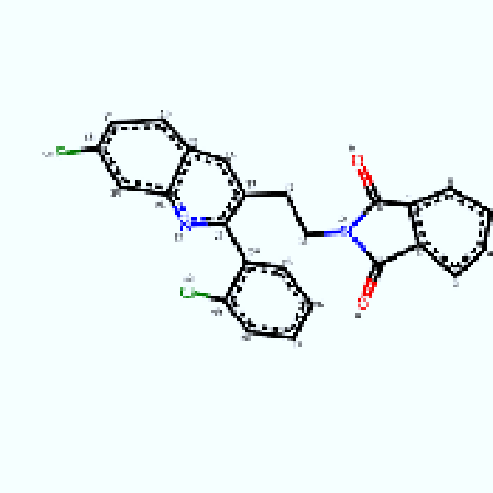 O=C1c2ccccc2C(=O)N1CCc1cc2ccc(F)cc2nc1-c1ccccc1Cl